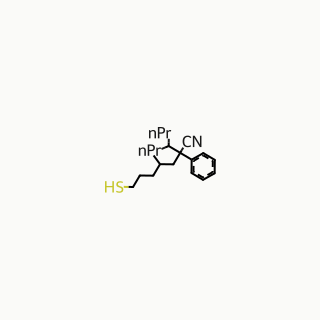 CCCC(CCC)C(C#N)(CC(C)CCCS)c1ccccc1